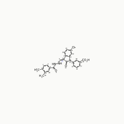 Cc1ccc(C(=O)NN/C=C2\C(=O)N(c3cccc(C(=O)O)c3)c3cc(Cl)ccc32)cc1C